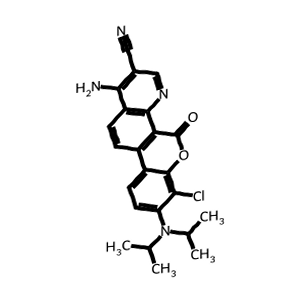 CC(C)N(c1ccc2c(oc(=O)c3c2ccc2c(N)c(C#N)cnc23)c1Cl)C(C)C